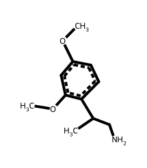 COc1ccc(C(C)CN)c(OC)c1